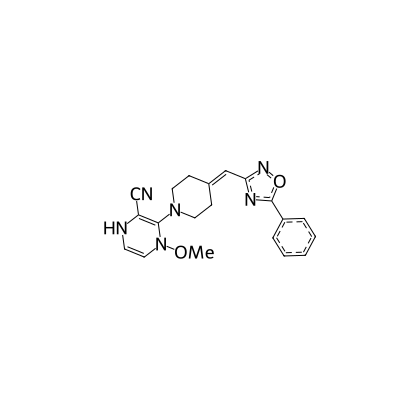 CON1C=CNC(C#N)=C1N1CCC(=Cc2noc(-c3ccccc3)n2)CC1